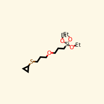 CCO[Si](CCCOCCCSC1CC1)(OCC)OCC